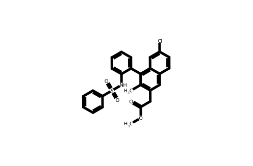 COC(=O)Cc1cc2ccc(Cl)cc2c(-c2ccccc2NS(=O)(=O)c2ccccc2)c1C